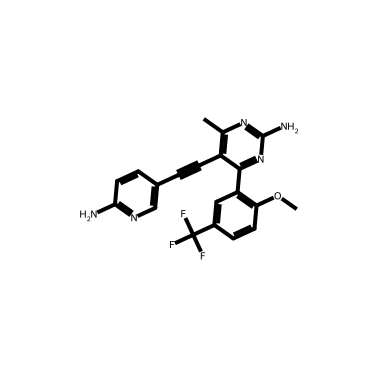 COc1ccc(C(F)(F)F)cc1-c1nc(N)nc(C)c1C#Cc1ccc(N)nc1